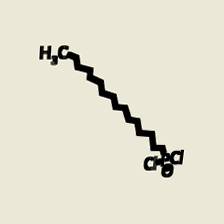 CCCCCCCCCCCCCCCCP(=O)(Cl)Cl